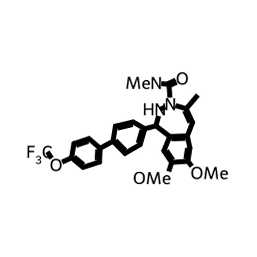 CNC(=O)N1NC(c2ccc(-c3ccc(OC(F)(F)F)cc3)cc2)c2cc(OC)c(OC)cc2C=C1C